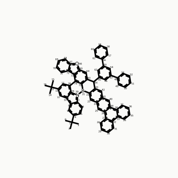 CC(C)(C)c1ccc2c(c1)c1cc(C(C)(C)C)cc3c1n2B1c2cc4cc5c6ccccc6c6ccccc6c5cc4cc2C(c2cc(-c4ccccc4)cc(-c4ccccc4)c2)c2cc4oc5ccccc5c4c-3c21